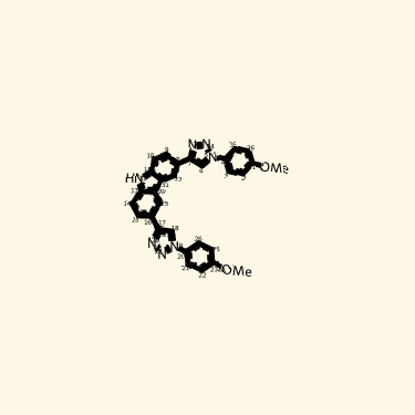 COc1ccc(-n2cc(-c3ccc4[nH]c5ccc(-c6cn(-c7ccc(OC)cc7)nn6)cc5c4c3)nn2)cc1